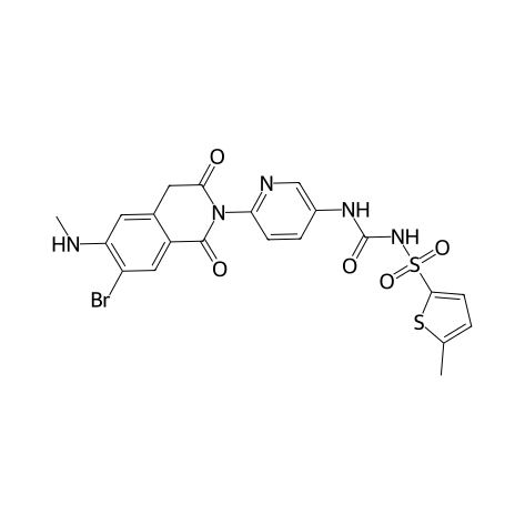 CNc1cc2c(cc1Br)C(=O)N(c1ccc(NC(=O)NS(=O)(=O)c3ccc(C)s3)cn1)C(=O)C2